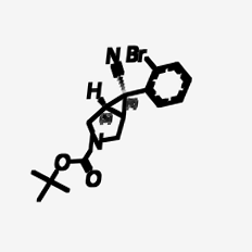 CC(C)(C)OC(=O)N1CC2[C@H](C1)[C@@]2(C#N)c1ccccc1Br